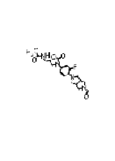 CC(=O)NCC1CN(c2ccc(N3CC4CN(C=O)CC4C3)c(F)c2)C(=O)O1